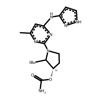 Cc1cc(Nc2cc[nH]n2)nc(N2CC[C@H](OC(N)=O)C2C(C)(C)C)n1